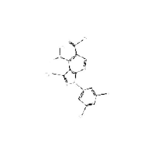 Cc1nn(-c2cc(Cl)cc(Cl)c2)c2ncc(C(=O)O)c(N(C)C)c12